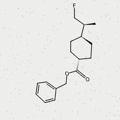 C[C@H](CF)[C@H]1CC[C@H](C(=O)OCc2ccccc2)CC1